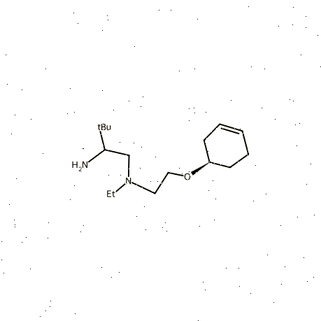 CCN(CCO[C@H]1CC=CCC1)CC(N)C(C)(C)C